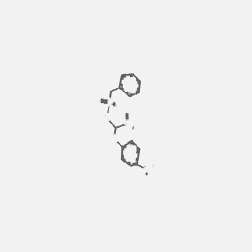 O=[N+]([O-])c1ccc(OC(NS(=O)(=O)Cc2ccccc2)[PH](=O)O)cc1